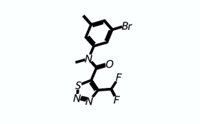 Cc1cc(Br)cc(N(C)C(=O)c2snnc2C(F)F)c1